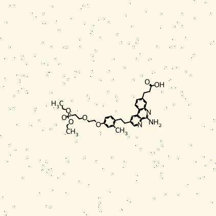 CCOP(=O)(CCOCCOc1ccc(CCc2cnc3c(N)nc4cc(CCC(=O)O)ccc4c3c2)c(C)c1)OCC